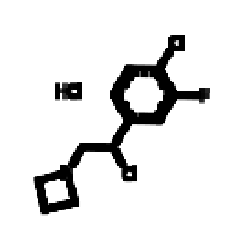 Cl.Fc1cc(C(Cl)CN2CCC2)ccc1Cl